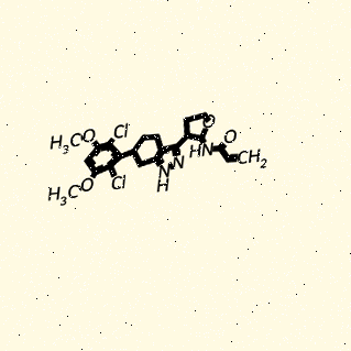 C=CC(=O)NC1OCCC1c1n[nH]c2c1CCC(c1c(Cl)c(OC)cc(OC)c1Cl)C2